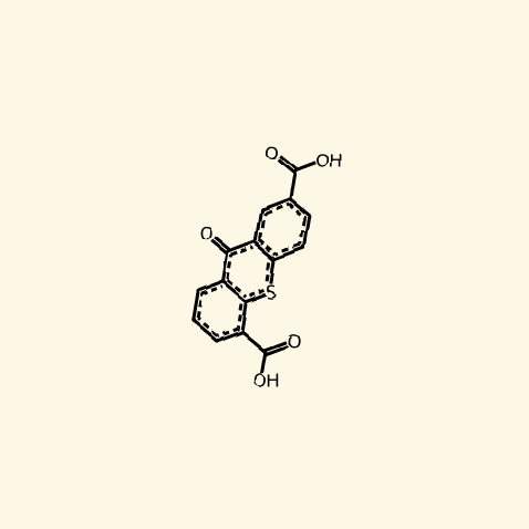 O=C(O)c1ccc2sc3c(C(=O)O)cccc3c(=O)c2c1